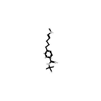 CO/C=C/CCCc1ccc(C(=O)OC(C)(C)C)cc1